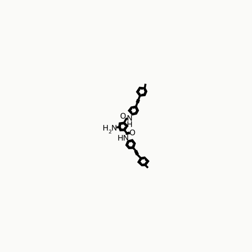 Cc1ccc(C#Cc2ccc(NC(=O)c3cc(N)cc(C(=O)Nc4ccc(C#Cc5ccc(C)cc5)cc4)c3)cc2)cc1